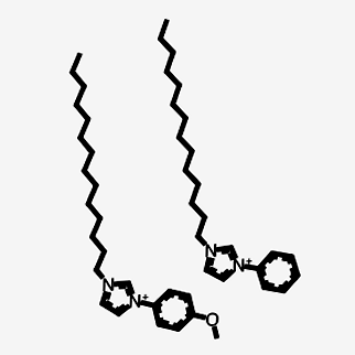 CCCCCCCCCCCCCCn1cc[n+](-c2ccc(OC)cc2)c1.CCCCCCCCCCCCCCn1cc[n+](-c2ccccc2)c1